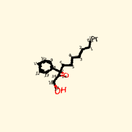 CC(C)CCCCCCC1(c2ccccc2)OC1CO